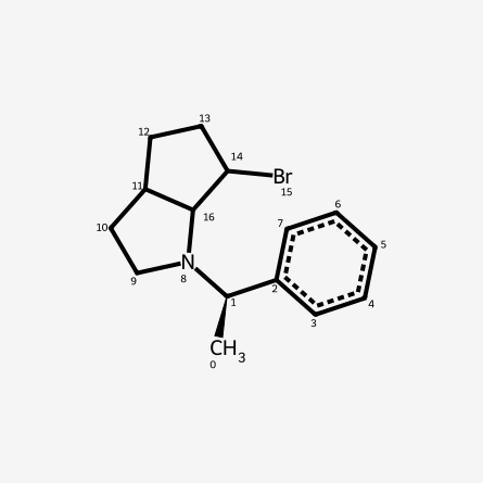 C[C@H](c1ccccc1)N1CCC2CCC(Br)C21